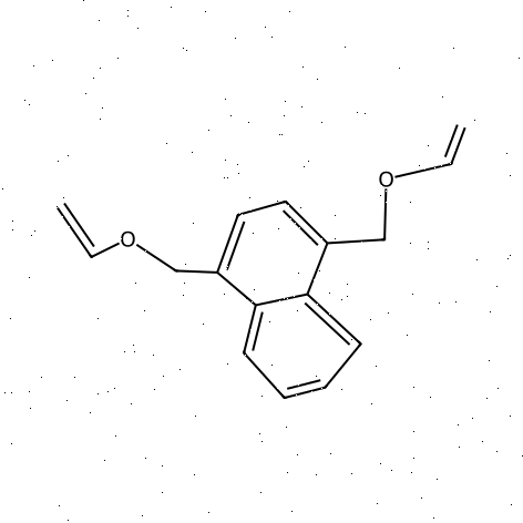 C=COCc1ccc(COC=C)c2ccccc12